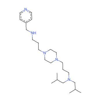 CC(C)CN(CCCN1CCN(CCCNCc2ccncc2)CC1)CC(C)C